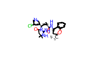 CC1(C)CC(=O)N([C@H](c2cncc(Cl)c2)[C@@H]2C[C@H]2C(=O)N[C@H]2C[C@H](C(F)(F)F)Oc3ccccc32)C(=N)N1